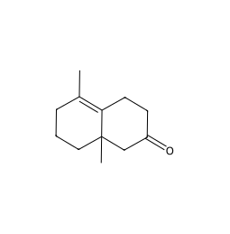 CC1=C2CCC(=O)CC2(C)CCC1